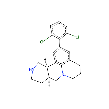 Clc1cccc(Cl)c1-c1cc2c3c(c1)[C@@H]1CNCC[C@@H]1CN3CCC2